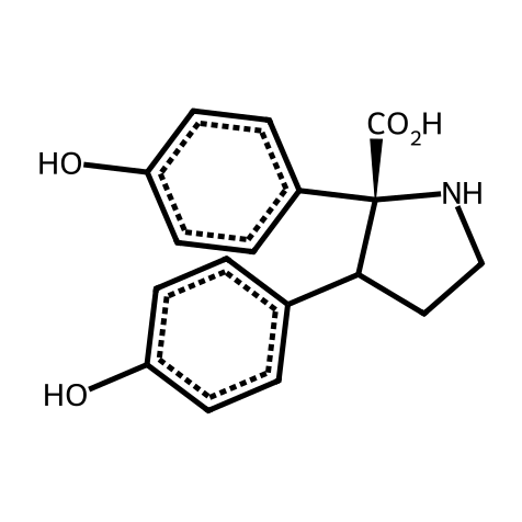 O=C(O)[C@@]1(c2ccc(O)cc2)NCCC1c1ccc(O)cc1